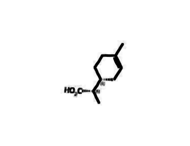 CC1=CC[C@H]([C@H](C)C(=O)O)CC1